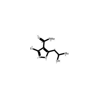 CCc1noc(CC(O)C(C)(C)C)c1C(=O)NC